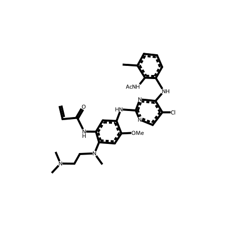 C=CC(=O)Nc1cc(Nc2ncc(Cl)c(Nc3cccc(C)c3NC(C)=O)n2)c(OC)cc1N(C)CCN(C)C